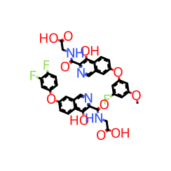 COc1cc(F)cc(Oc2ccc3c(O)c(C(=O)NCC(=O)O)ncc3c2)c1.O=C(O)CNC(=O)c1ncc2cc(Oc3ccc(F)c(F)c3)ccc2c1O